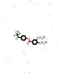 O=C(Oc1ccc(C(F)C(F)(F)C(F)(F)F)cc1)c1ccc(C(=O)O)c(C(=O)O)c1